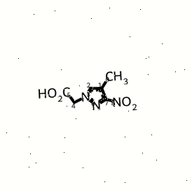 Cc1cn(CC(=O)O)nc1[N+](=O)[O-]